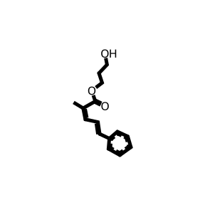 CC(=CC=Cc1ccccc1)C(=O)OCCCO